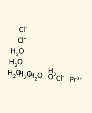 O.O.O.O.O.O.[Cl-].[Cl-].[Cl-].[Pr+3]